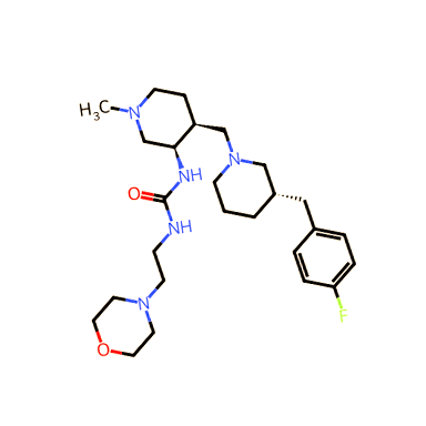 CN1CC[C@@H](CN2CCC[C@@H](Cc3ccc(F)cc3)C2)[C@@H](NC(=O)NCCN2CCOCC2)C1